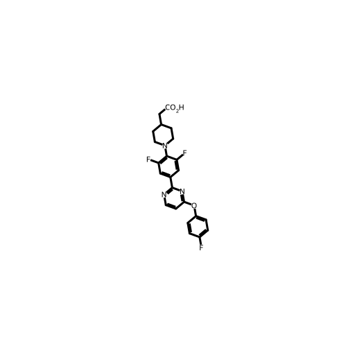 O=C(O)CC1CCN(c2c(F)cc(-c3nccc(Oc4ccc(F)cc4)n3)cc2F)CC1